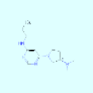 CN(C)[C@@H]1CCN(c2cc(NCCC(C)(C)C)ncn2)C1